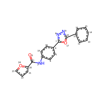 O=C(Nc1ccc(-c2nnc(-c3ccccc3)o2)cc1)c1ccco1